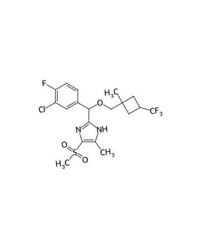 Cc1[nH]c(C(OCC2(C)CC(C(F)(F)F)C2)c2ccc(F)c(Cl)c2)nc1S(C)(=O)=O